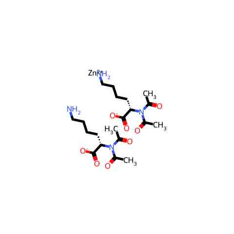 CC(=O)N(C(C)=O)[C@@H](CCCCN)C(=O)[O-].CC(=O)N(C(C)=O)[C@@H](CCCCN)C(=O)[O-].[Zn+2]